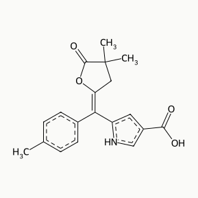 Cc1ccc(/C(=C2/CC(C)(C)C(=O)O2)c2cc(C(=O)O)c[nH]2)cc1